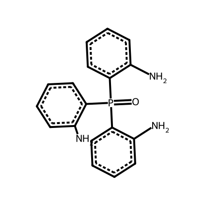 Nc1ccccc1P(=O)(c1ccccc1N)c1ccccc1N